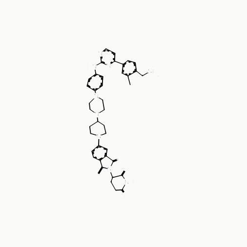 Cc1cc(-c2ccnc(Nc3ccc(N4CCN(C5CCN(c6ccc7c(c6)C(=O)N(C6CCC(=O)NC6=O)C7=O)CC5)CC4)cc3)n2)ccc1CN